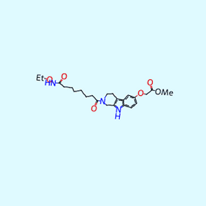 CCONC(=O)CCCCCCC(=O)N1CCc2c([nH]c3ccc(OCC(=O)OC)cc23)C1